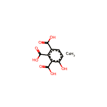 O=C(O)c1ccc(O)c(C(=O)O)c1C(=O)O.[CaH2]